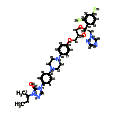 CCC(C)n1ncn(-c2ccc(N3CCN(c4ccc(OC[C@H]5CO[C@@](Cn6cncn6)(c6ccc(F)cc6F)O5)cc4)CC3)cc2)c1=O